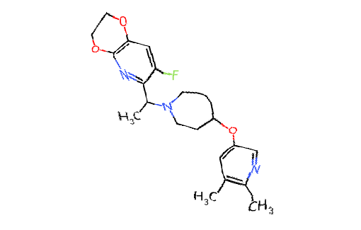 Cc1cc(OC2CCN(C(C)c3nc4c(cc3F)OCCO4)CC2)cnc1C